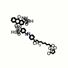 CN(CCCCCCCC(=O)ON1C(=O)CCC1=O)c1ccc(/N=N/c2ccc(Nc3cc(S(=O)(=O)O)c(N)c4c3C(=O)c3ccccc3C4=O)c(S(=O)(=O)O)c2)cc1